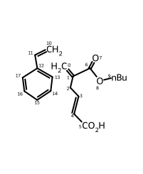 C=C(CC=CC(=O)O)C(=O)OCCCC.C=Cc1ccccc1